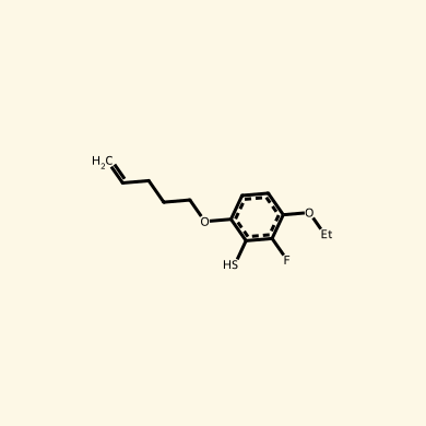 C=CCCCOc1ccc(OCC)c(F)c1S